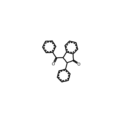 O=C1c2ccccc2C(C(=O)c2ccccc2)C1c1ccccc1